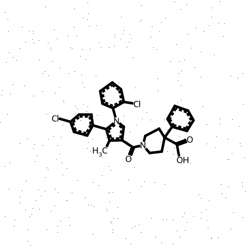 Cc1c(C(=O)N2CCC(C(=O)O)(c3ccccc3)CC2)cn(-c2ccccc2Cl)c1-c1ccc(Cl)cc1